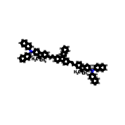 CC1(C)c2cc(/C=C/c3ccc4c(c3)C3(Cc5ccccc5C3)c3cc(/C=C/c5ccc6c(c5)C(C)(C)c5cc(N(c7ccc8ccccc8c7)c7ccc8ccccc8c7)ccc5-6)ccc3-4)ccc2-c2ccc(N(c3ccc4ccccc4c3)c3ccc4ccccc4c3)cc21